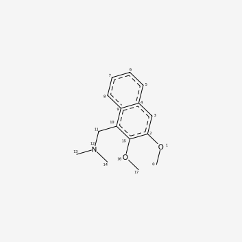 COc1cc2ccccc2c(CN(C)C)c1OC